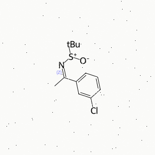 C/C(=N/[S+]([O-])C(C)(C)C)c1cccc(Cl)c1